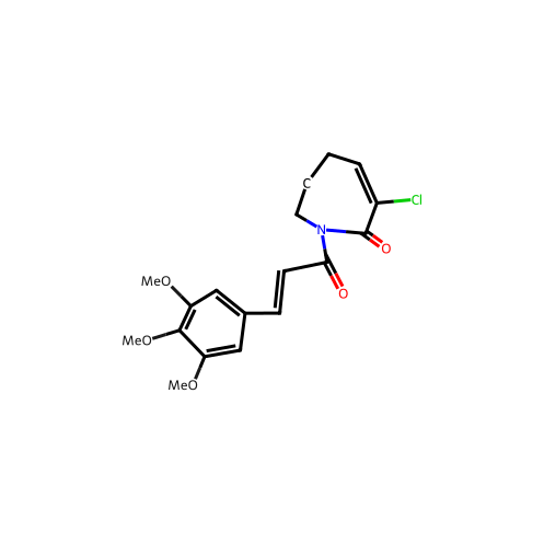 COc1cc(C=CC(=O)N2CCCC=C(Cl)C2=O)cc(OC)c1OC